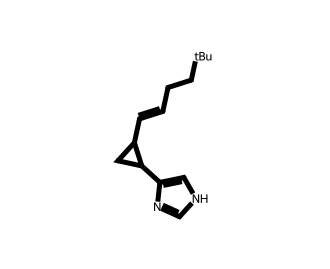 CC(C)(C)CCC=CC1CC1c1c[nH]cn1